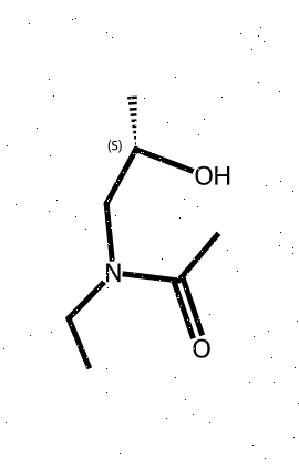 CCN(C[C@H](C)O)C(C)=O